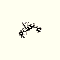 COCCCn1c(NC(=O)c2cccc(C#N)c2)nc2cc(C(=O)NCc3ccncc3)cnc21